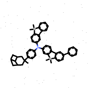 CC1(c2ccc(N(c3ccc4c(c3)-c3ccccc3[Si]4(C)C)c3ccc4c(c3)[Si](C)(C)c3ccc(-c5ccccc5)cc3-4)cc2)CC2CC3CC(C1)C32